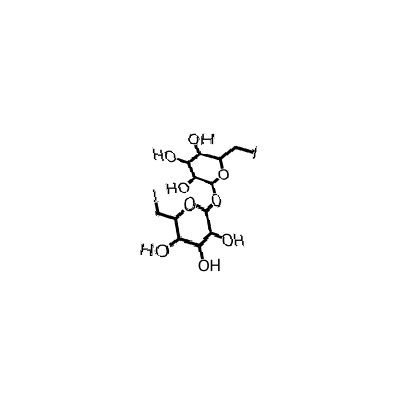 OC1C(CI)OC(OC2OC(CI)C(O)C(O)C2O)C(O)C1O